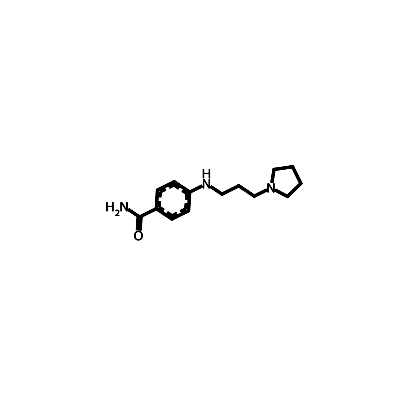 NC(=O)c1ccc(NCCCN2CCCC2)cc1